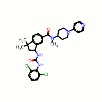 CN(C(=O)c1ccc2c(c1)C(NC(=O)Nc1c(Cl)cccc1Cl)CC2(C)C)C1CCN(c2ccncc2)CC1